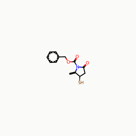 C=C1C(S)CC(=O)N1C(=O)OCc1ccccc1